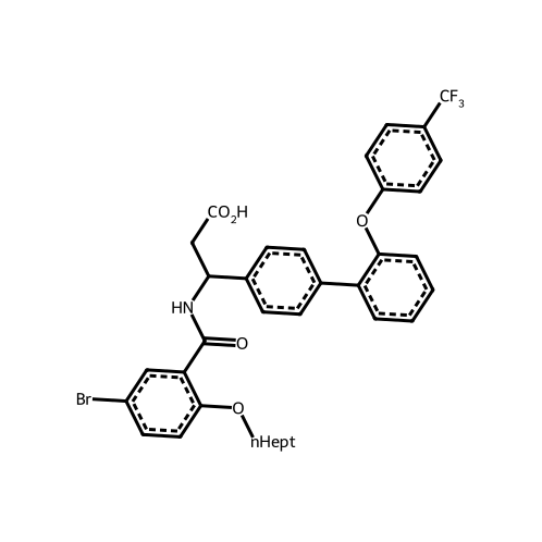 CCCCCCCOc1ccc(Br)cc1C(=O)NC(CC(=O)O)c1ccc(-c2ccccc2Oc2ccc(C(F)(F)F)cc2)cc1